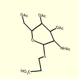 CC(=O)NC1C(SCCC(=O)O)OC(COC(C)=O)C(OC(C)=O)C1OC(C)=O